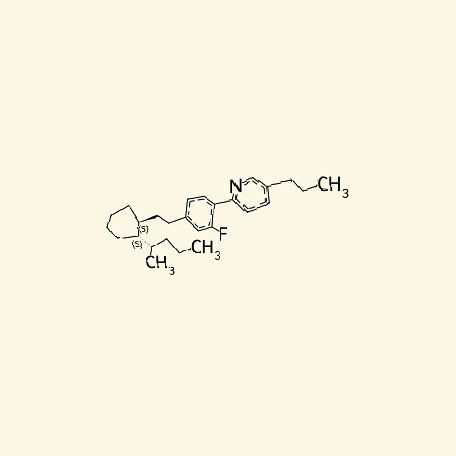 CCCc1ccc(-c2ccc(CC[C@@H]3CCCC[C@H]3C(C)CCC)cc2F)nc1